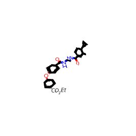 CCOC(=O)[C@H]1CC[C@@H](Oc2ccc(C(=O)NCCNC(=O)C3=CC(C)C(C4CC4)C=C3)cc2)CC1